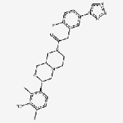 Cc1c([C@@H]2CN3CCN(C(=O)Cc4cc(-n5cnnn5)ccc4F)CC3CO2)ccc(F)c1C#N